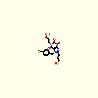 Cn1c(=O)n(CCCO)c(=O)c2c1nc(CCCO)n2Cc1ccc(Cl)cc1